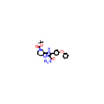 CC(C)(C)OC(=O)N1CCCc2nn3c(C(N)=O)c(-c4ccc(Oc5ccccc5)cc4)[nH]c3c2C1